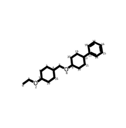 CCOC1CCC(COC2CCC(c3ccccc3)CC2)CC1